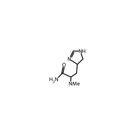 CNC(CC1CNC=N1)C(N)=O